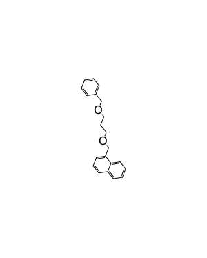 [CH](CCOCc1ccccc1)OCc1cccc2ccccc12